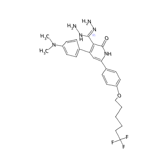 CN(C)c1ccc(-c2cc(-c3ccc(OCCCCCC(F)(F)F)cc3)[nH]c(=O)c2/C(=N/N)NN)cc1